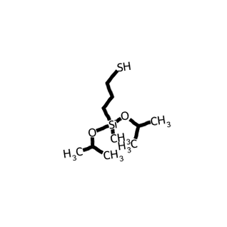 CC(C)O[Si](C)(CCCS)OC(C)C